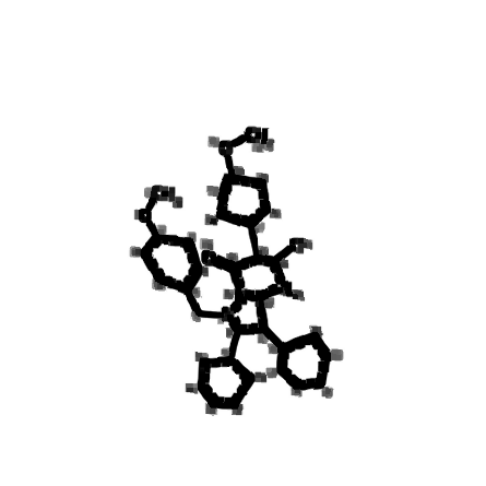 COc1ccc(Cn2c(-c3ccccc3)c(-c3ccccc3)c3nc(Cl)c(-c4ccc(OC)cc4)c(=O)n32)cc1